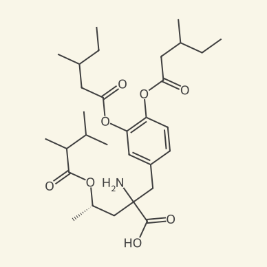 CCC(C)CC(=O)Oc1ccc(CC(N)(C[C@H](C)OC(=O)C(C)C(C)C)C(=O)O)cc1OC(=O)CC(C)CC